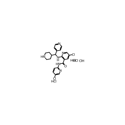 Cl.Cl.Cl.Cl.O=C(Nc1ccc(Cl)cn1)c1cc(Cl)cnc1NC(c1ccncc1)C1CCNCC1